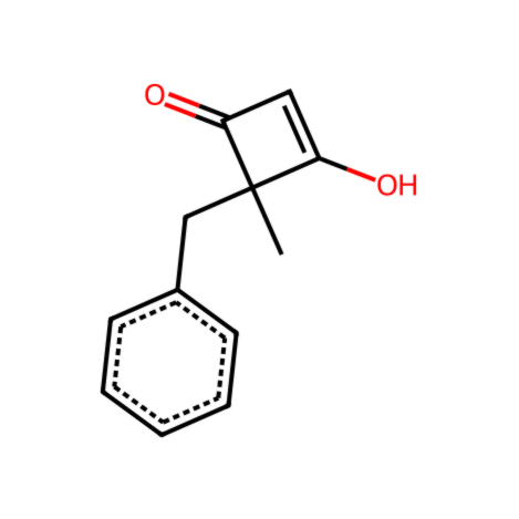 CC1(Cc2ccccc2)C(=O)C=C1O